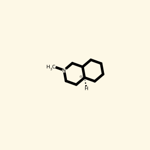 CN1CC[C@@H]2CCCCC2C1